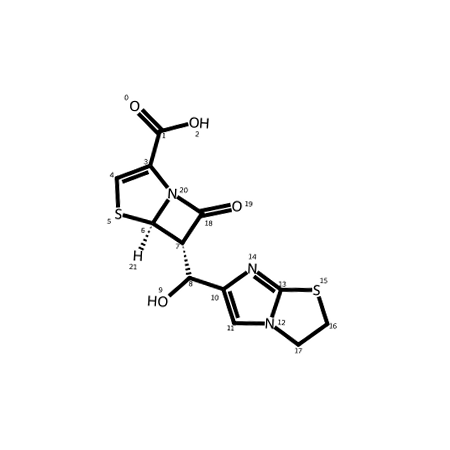 O=C(O)C1=CS[C@@H]2[C@@H](C(O)c3cn4c(n3)SCC4)C(=O)N12